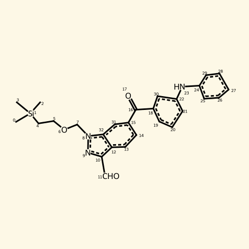 C[Si](C)(C)CCOCn1nc(C=O)c2ccc(C(=O)c3cccc(Nc4ccccc4)c3)cc21